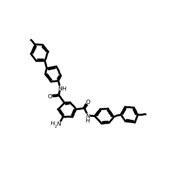 Cc1ccc(-c2ccc(NC(=O)c3cc(N)cc(C(=O)Nc4ccc(-c5ccc(C)cc5)cc4)c3)cc2)cc1